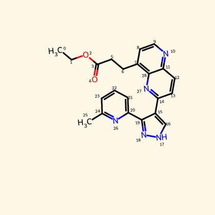 CCOC(=O)CCc1ccnc2ccc(-c3c[nH]nc3-c3cccc(C)n3)nc12